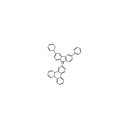 C1=CCC(c2ccc3c(c2)c2cc(-c4ccccc4)ccc2n3-c2ccc3c(c2)C2C=CC=CC2c2ccccc2-3)C=C1